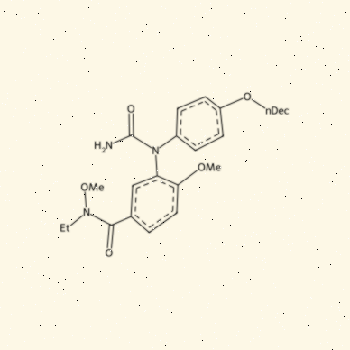 CCCCCCCCCCOc1ccc(N(C(N)=O)c2cc(C(=O)N(CC)OC)ccc2OC)cc1